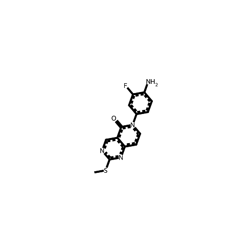 CSc1ncc2c(=O)n(-c3ccc(N)c(F)c3)ccc2n1